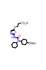 COC1CCC(N(C(=O)Nc2ncc(SCCC(=O)O)s2)C2CCCCC2)CC1